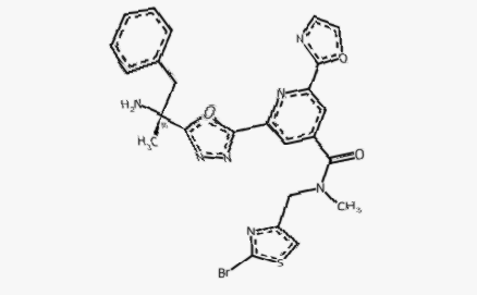 CN(Cc1csc(Br)n1)C(=O)c1cc(-c2ncco2)nc(-c2nnc([C@](C)(N)Cc3ccccc3)o2)c1